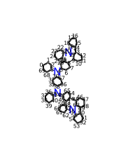 c1ccc(N(c2ccc(-c3cccc4c5ccccc5n(-c5ccccc5)c34)cc2)c2ccc(N(c3ccccc3)c3ccc(-c4cccc5c6ccccc6n(-c6ccccc6)c45)cc3)cc2)cc1